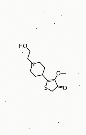 COC1=C(C2CCN(CCO)CC2)SCC1=O